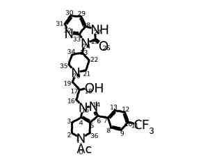 CC(=O)N1CCc2c(c(-c3ccc(C(F)(F)F)cc3)nn2CC(O)CN2CCC(n3c(=O)[nH]c4cccnc43)CC2)C1